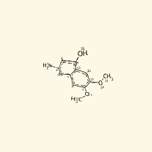 COc1cc2nc(N)cc(O)c2cc1OC